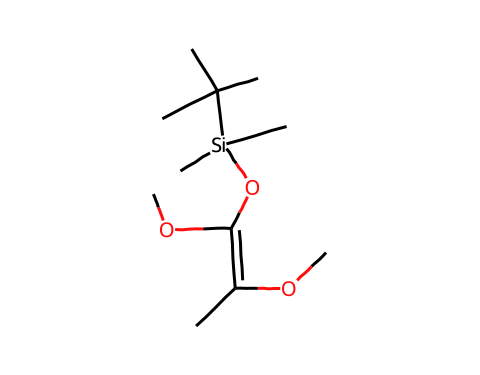 COC(C)=C(OC)O[Si](C)(C)C(C)(C)C